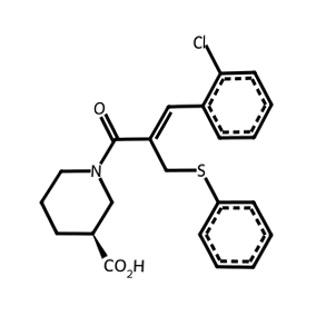 O=C(O)[C@H]1CCCN(C(=O)/C(=C/c2ccccc2Cl)CSc2ccccc2)C1